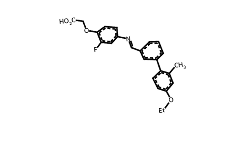 CCOc1ccc(-c2cccc(C=Nc3ccc(OCC(=O)O)c(F)c3)c2)c(C)c1